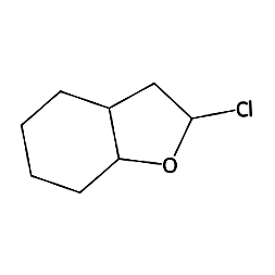 ClC1CC2CCCCC2O1